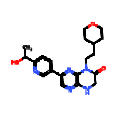 C[C@H](O)c1ccc(-c2cnc3c(n2)N(CCC2CCOCC2)C(=O)CN3)cn1